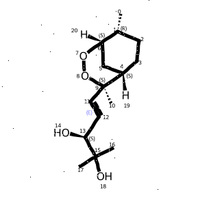 C[C@@H]1CC[C@H]2C[C@@H]1OO[C@]2(C)/C=C/[C@H](O)C(C)(C)O